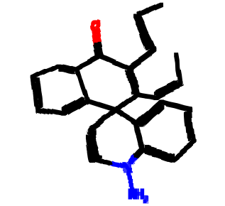 C/C=C\C1=C(/C=C/C)C(=O)c2ccccc2C12c1ccccc1N(N)c1ccccc12